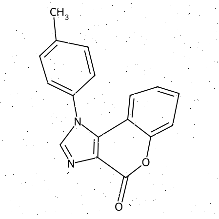 Cc1ccc(-n2cnc3c(=O)oc4ccccc4c32)cc1